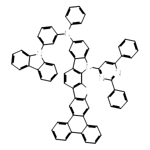 c1ccc(-c2cc(-n3c4ccc(N(c5ccccc5)c5cccc(-n6c7ccccc7c7ccccc76)c5)cc4c4ccc5c6cc7c8ccccc8c8ccccc8c7cc6sc5c43)nc(-c3ccccc3)n2)cc1